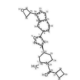 C[C@@H]1C[C@@H](c2noc(-c3ccc4cnn(C5COC5)c4c3)n2)CCN1C(=O)C1CCC1